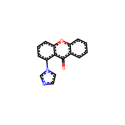 O=c1c2ccccc2oc2cccc(-n3ccnc3)c12